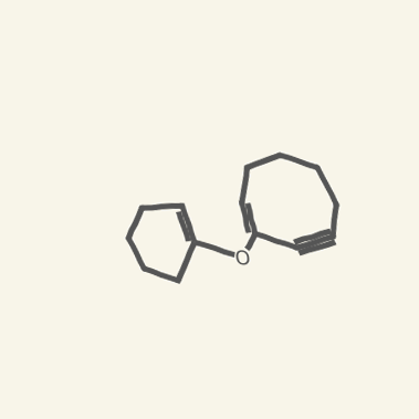 C1#C/C(OC2=CCCCC2)=C\CCCC1